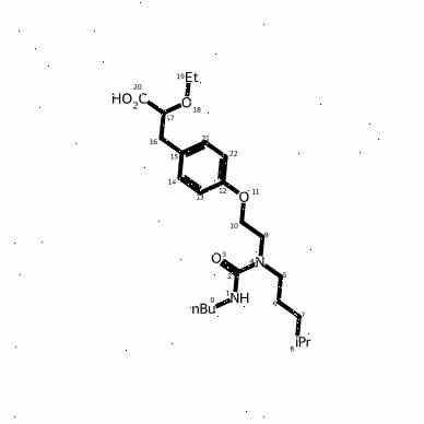 CCCCNC(=O)N(CCCC(C)C)CCOc1ccc(CC(OCC)C(=O)O)cc1